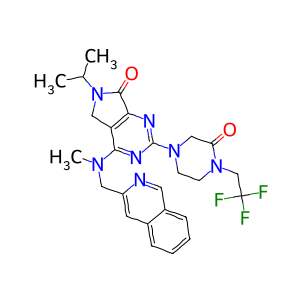 CC(C)N1Cc2c(nc(N3CCN(CC(F)(F)F)C(=O)C3)nc2N(C)Cc2cc3ccccc3cn2)C1=O